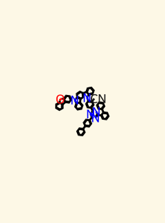 N#Cc1cc(-c2nc(-c3ccc(-c4ccccc4)cc3)nc(-c3ccccc3-c3ccccc3)n2)ccc1-n1c2ccccc2c2ccc3c(c4ccccc4n3-c3ccc4oc5ccccc5c4c3)c21